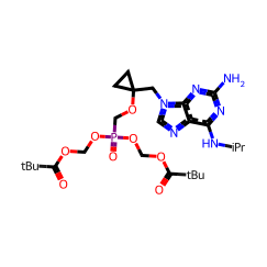 CC(C)Nc1nc(N)nc2c1ncn2CC1(OCP(=O)(OCOC(=O)C(C)(C)C)OCOC(=O)C(C)(C)C)CC1